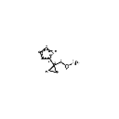 CCCOCC1(c2cc[c]s2)CC1